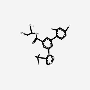 CC(CO)NC(=O)c1cc(-c2ccc(F)cc2Cl)cc(-n2nnnc2C(F)(F)F)c1